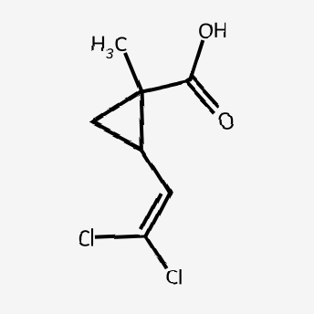 CC1(C(=O)O)CC1C=C(Cl)Cl